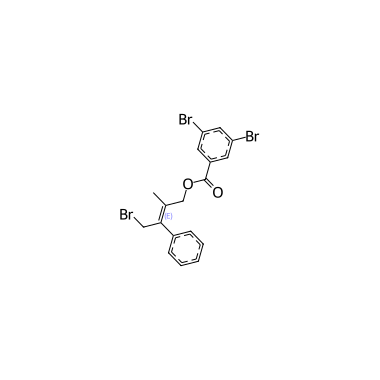 C/C(COC(=O)c1cc(Br)cc(Br)c1)=C(\CBr)c1ccccc1